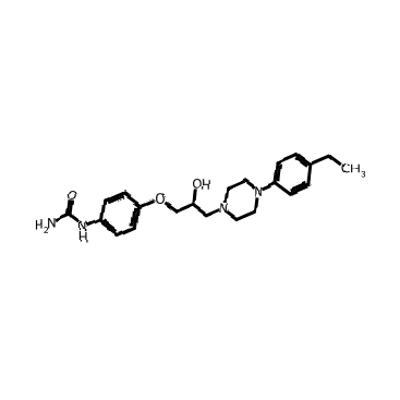 CCc1ccc(N2CCN(CC(O)COc3ccc(NC(N)=O)cc3)CC2)cc1